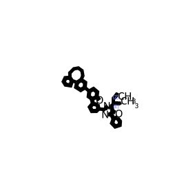 C/C=C\C(=C/C)c1nc(-c2cccc3c2oc2ccc(-c4ccc5c(c4)CCCCCc4ccccc4-5)cc23)nc2c1oc1ccccc12